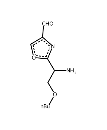 CCCCOCC(N)c1nc(C=O)co1